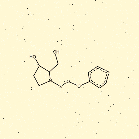 OCC1C(O)CCN1SOOc1ccccc1